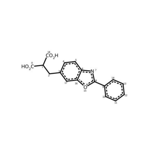 O=C(O)C(Cc1ccc2nc(-c3ccccc3)oc2c1)C(=O)O